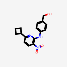 O=[N+]([O-])c1ccc(C2CCC2)nc1Nc1ccc(CO)cc1